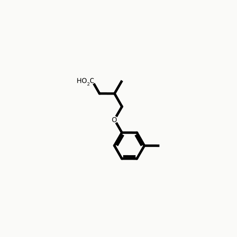 Cc1cccc(OCC(C)CC(=O)O)c1